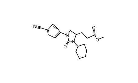 COC(=O)CCC1CN(c2ccc(C#N)cc2)C(=O)N1C1CCCCC1